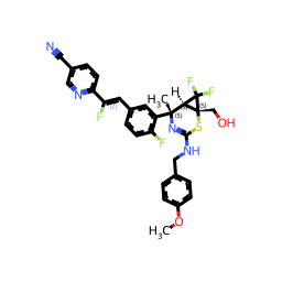 COc1ccc(CNC2=N[C@](C)(c3cc(/C=C(\F)c4ccc(C#N)cn4)ccc3F)[C@H]3C(F)(F)[C@]3(CO)S2)cc1